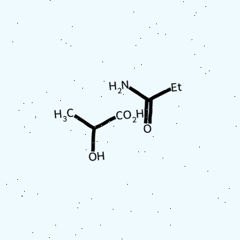 CC(O)C(=O)O.CCC(N)=O